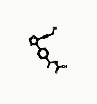 CC(NC(=O)O)c1ccc(-c2scnc2C#CCO)cc1